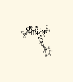 O=C(NC1CN(C2CC2)CC1COCC#CC1CCCCC1)c1cc(C2CC2)on1